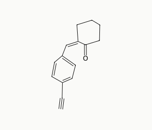 C#Cc1ccc(/C=C2/CCCCC2=O)cc1